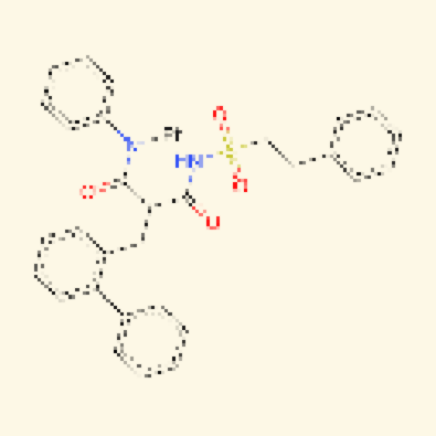 CCN(C(=O)C(Cc1ccccc1-c1ccccc1)C(=O)NS(=O)(=O)CCc1ccccc1)c1ccccc1